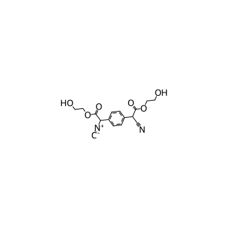 [C-]#[N+]C(C(=O)OCCO)c1ccc(C(C#N)C(=O)OCCO)cc1